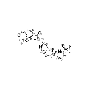 C[C@@]1(F)COCc2ccc(C(=O)NCc3cc4nc(-c5cccc(C6(O)CC6)n5)ccc4cn3)cc21